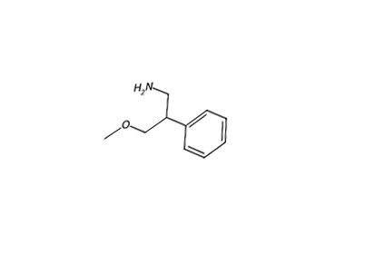 COCC(CN)c1ccccc1